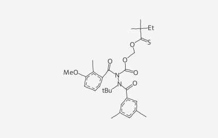 CCC(C)(C)C(=S)OCOC(=O)N(C(=O)c1cccc(OC)c1C)N(C(=O)c1cc(C)cc(C)c1)C(C)(C)C